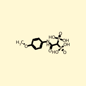 COc1ccc(NC(=O)C(P(=O)(O)O)P(=O)(O)O)cc1